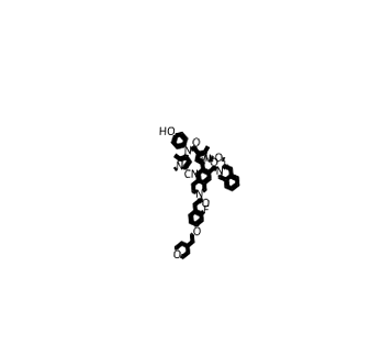 COC[C@@H]1Cc2ccccc2CN1C(=O)c1cc2c(cc1-c1cc(C(=O)N(c3ccc(O)cc3)c3cc(C#N)n(C)c3C)c(C)n1C)CCN(C(=O)Cc1ccc(OCCC3CCOCC3)cc1F)C2